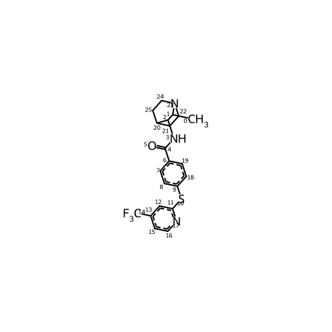 CC1C(NC(=O)c2ccc(Sc3cc(C(F)(F)F)ccn3)cc2)C2CCN1CC2